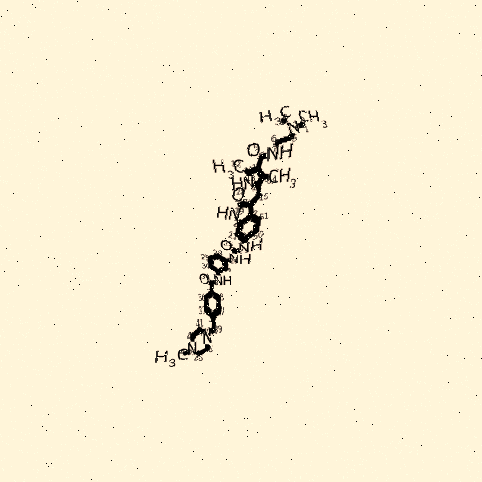 CCN(CC)CCNC(=O)c1c(C)[nH]c(C=C2C(=O)Nc3cc(NC(=O)Nc4cccc(NC(=O)c5ccc(CN6CCN(C)CC6)cc5)c4)ccc32)c1C